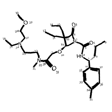 CCC[C@@H](NC(=O)N1C(=O)C(CC)(CC)[C@@H]1OCC(=O)N(C)CCN(CC)CCOC)c1ccc(C)cc1